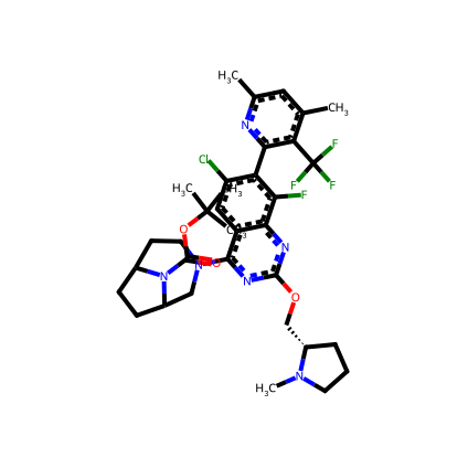 Cc1cc(C)c(C(F)(F)F)c(-c2c(Cl)cc3c(N4CCC5CCC(C4)N5C(=O)OC(C)(C)C)nc(OC[C@@H]4CCCN4C)nc3c2F)n1